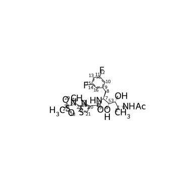 CC(=O)N[C@H](C)[C@@H](O)[C@H](O)[C@H](Cc1cc(F)cc(F)c1)NC(=O)c1csc(N(C)S(C)(=O)=O)n1